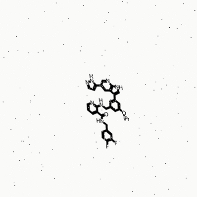 CC(C)Oc1cc(CNc2ncccc2C(=O)NCc2ccc(F)c(F)c2)cc(-c2c[nH]c3ncc(-c4ccn[nH]4)cc23)c1